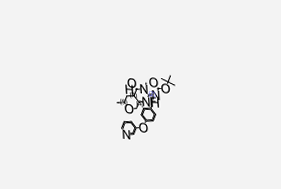 C[C@H]1C[C@H]2C(=O)N(C)/C(=N\C(=O)OC(C)(C)C)N[C@@]2(c2cc(Oc3cccnc3)ccc2F)CO1